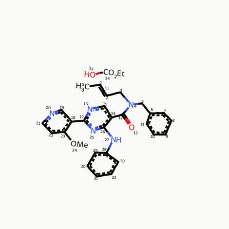 C/C=C/CN(Cc1ccccc1)C(=O)c1cnc(-c2cnccc2OC)nc1Nc1ccccc1.CCOC(=O)O